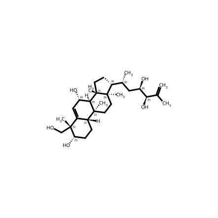 C=C(C)[C@@H](O)[C@H](O)C[C@@H](C)[C@H]1CC[C@@]2(C)[C@@H]3[C@@H](O)C=C4[C@@H](CC[C@H](O)[C@]4(C)CO)[C@]3(C)CC[C@]12C